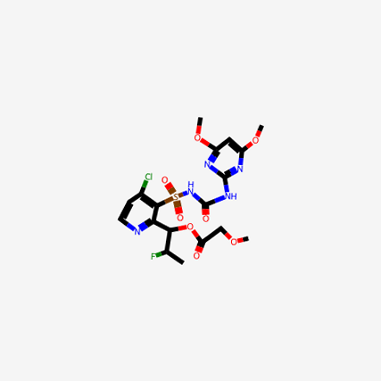 COCC(=O)OC(c1nccc(Cl)c1S(=O)(=O)NC(=O)Nc1nc(OC)cc(OC)n1)C(C)F